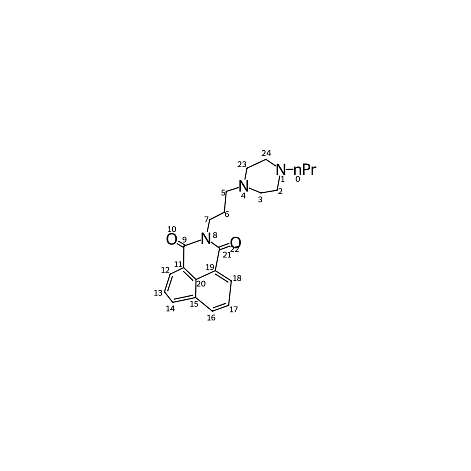 CCCN1CCN(CCCN2C(=O)c3cccc4cccc(c34)C2=O)CC1